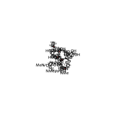 CNCCOc1ccc(NC(=O)NC(=O)C[C@@H]2NC(=O)[C@H](NC(=O)[C@@H](CC(C)C)NC)[C@H](O)c3ccc(c(C)c3)Oc3cc4cc(c3O[C@@H]3O[C@H](CO)[C@@H](O)[C@H](O)[C@H]3O)Oc3ccc(cc3Cl)[C@@H](O)[C@@H]3NC(=O)[C@H](NC(=O)[C@@H]4NC2=O)c2ccc(O)c(c2)-c2c(O)cc(O)cc2[C@@H](C(=O)NC2C4CC5CC(C4)CC2C5)NC3=O)cc1OCCNC